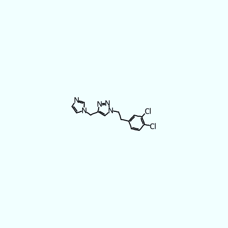 Clc1ccc(CCn2cc(Cn3ccnc3)nn2)cc1Cl